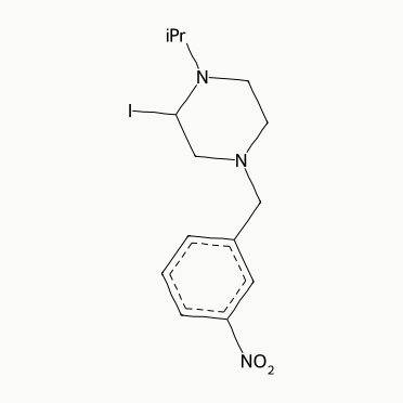 CC(C)N1CCN(Cc2cccc([N+](=O)[O-])c2)CC1I